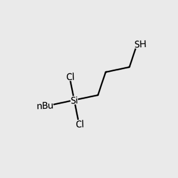 CCCC[Si](Cl)(Cl)CCCS